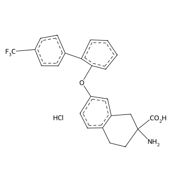 Cl.NC1(C(=O)O)CCc2ccc(Oc3ccccc3-c3ccc(C(F)(F)F)cc3)cc2C1